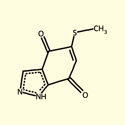 CSC1=CC(=O)c2[nH]ncc2C1=O